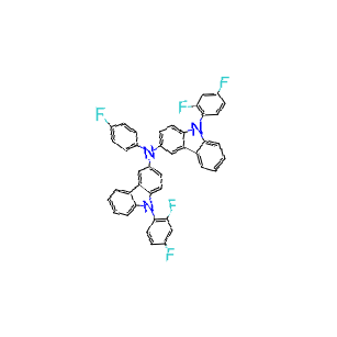 Fc1ccc(N(c2ccc3c(c2)c2ccccc2n3-c2ccc(F)cc2F)c2ccc3c(c2)c2ccccc2n3-c2ccc(F)cc2F)cc1